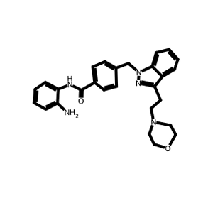 Nc1ccccc1NC(=O)c1ccc(Cn2nc(CCN3CCOCC3)c3ccccc32)cc1